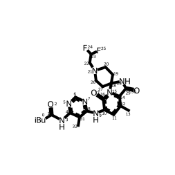 CCC(C)C(=O)Nc1ncnc(Nc2cc(C)c3n(c2=O)C2(CCN(CC(F)F)CC2)NC3=O)c1C